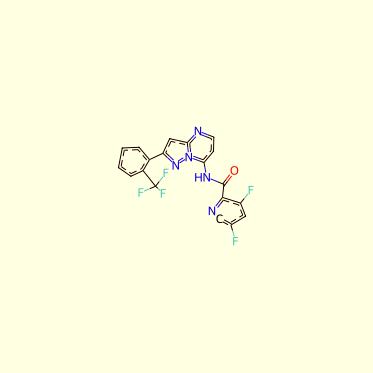 O=C(Nc1ccnc2cc(-c3ccccc3C(F)(F)F)nn12)c1ncc(F)cc1F